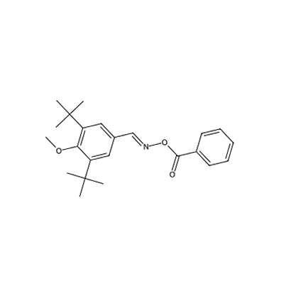 COc1c(C(C)(C)C)cc(/C=N/OC(=O)c2ccccc2)cc1C(C)(C)C